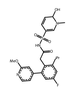 COc1cc(-c2cc(F)cc(C(C)C)c2CC(=O)NS(=O)(=O)C2=CN(C)C(O)C=C2)ccn1